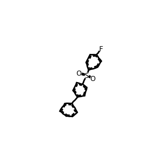 O=S(=O)(c1ccc(F)cc1)c1ccc(-c2ccccc2)cc1